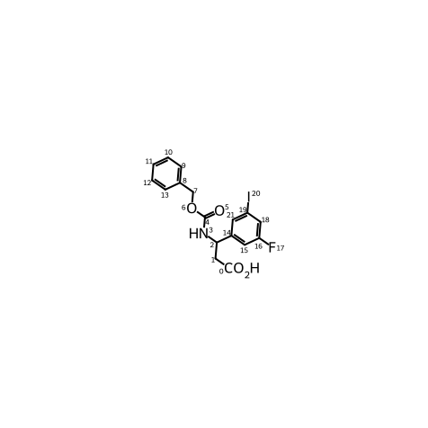 O=C(O)CC(NC(=O)OCc1ccccc1)c1cc(F)cc(I)c1